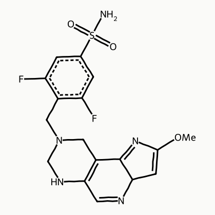 COC1=CC2N=CC3=C(CN(Cc4c(F)cc(S(N)(=O)=O)cc4F)CN3)C2=N1